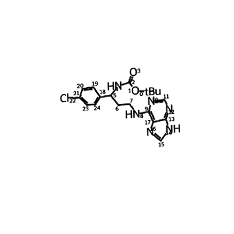 CC(C)(C)OC(=O)NC(CCNc1ncnc2[nH]cnc12)c1ccc(Cl)cc1